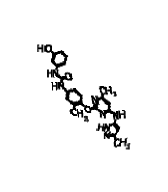 Cc1cc(Nc2cc(C)nc(Oc3ccc(NC(=O)Nc4cccc(O)c4)cc3C)n2)[nH]n1